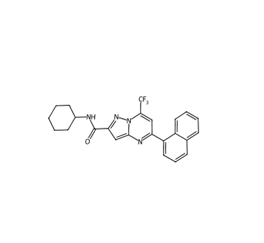 O=C(NC1CCCCC1)c1cc2nc(-c3cccc4ccccc34)cc(C(F)(F)F)n2n1